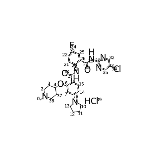 CN1CCC(Oc2cc(N3CCCC3)ccc2C(=O)Nc2ccc(F)cc2C(=O)Nc2ncc(Cl)cn2)CC1.Cl